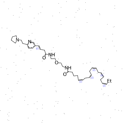 CC/C=C\C/C=C\C/C=C\C/C=C\C/C=C\CCCC(=O)NCCOCCNC(=O)C/C=C/c1ccc(CCN2CCCC2)nc1